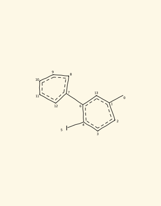 Cc1ccc(I)c(-c2ccccc2)c1